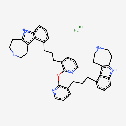 Cl.Cl.c1cnc(Oc2ncccc2CCCc2cccc3[nH]c4c(c23)CCNCC4)c(CCCc2cccc3[nH]c4c(c23)CCNCC4)c1